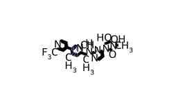 C=N/C=C(\C(C)=C/CC(C)Nc1nccc(N2CC(O)(O)N(C)C2=O)n1)c1ccnc(C(F)(F)F)c1